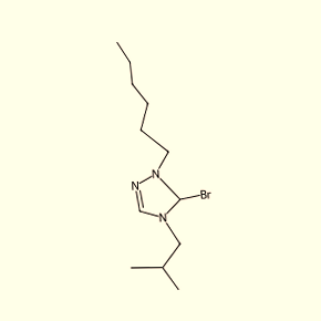 CCCCCCN1N=CN(CC(C)C)C1Br